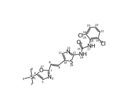 C[Si](C)(C)c1cnc(/C=C/c2cnc(NC(=O)Nc3c(Cl)cccc3Cl)s2)o1